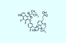 CC(C)S(=O)(=O)c1c(Oc2ccc(F)c(-c3nc([C@]4(C)CCOc5c(CCC(=O)O)cccc54)c[nH]3)c2)c(F)c(F)c2[nH]ccc12